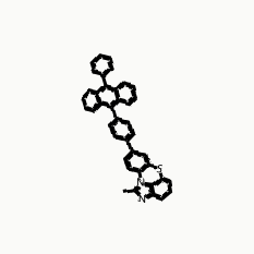 Cc1nc2cccc3c2n1-c1ccc(-c2ccc(-c4c5ccccc5c(-c5ccccc5)c5ccccc45)cc2)cc1S3